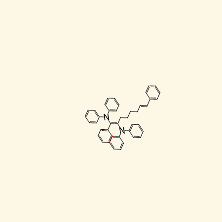 C(=Cc1ccccc1)CCCCC(=C(c1ccccc1)N(c1ccccc1)c1ccccc1)N(c1ccccc1)c1ccccc1